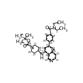 CCN(CC)C(=O)c1ccc(-c2cc(NC3CCN(C(=O)OC(C)(C)C)CC3)c3cnccc3n2)cc1